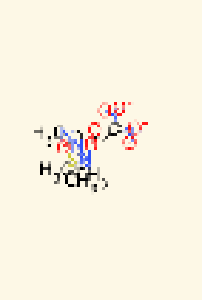 CN1CCC(OC(=O)Cc2cc([N+](=O)[O-])cc([N+](=O)[O-])c2)N(c2nnc(C(C)(C)C)s2)C1=O